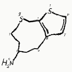 NC1CSc2sccc2C1